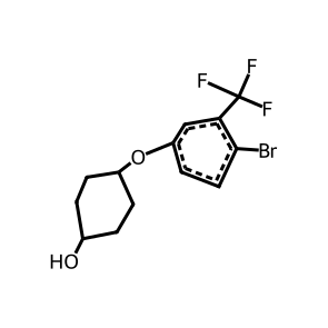 OC1CCC(Oc2ccc(Br)c(C(F)(F)F)c2)CC1